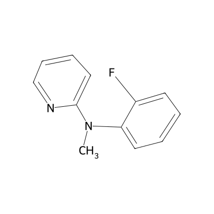 CN(c1ccccn1)c1ccccc1F